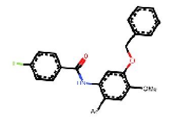 COc1cc(C(C)=O)c(NC(=O)c2ccc(F)cc2)cc1OCc1ccccc1